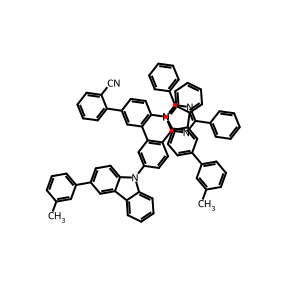 Cc1cccc(-c2ccc3c(c2)c2ccccc2n3-c2ccc(-c3nc(-c4ccccc4)nc(-c4ccccc4)n3)c(-c3cc(-c4ccccc4C#N)ccc3-n3c4ccccc4c4cc(-c5cccc(C)c5)ccc43)c2)c1